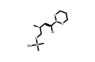 C[C@@H](/C=C(\Br)B1OCCCO1)CO[Si](C)(C)C(C)(C)C